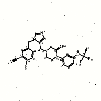 N#Cc1cc(Cn2cncc2CN2CCN(c3cccc(OC(F)(F)F)c3)C(=O)C2)ccc1F